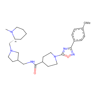 COc1ccc(-c2noc(N3CCC(C(=O)NCC4CCN(C[C@H]5CCCCN5C)C4)CC3)n2)cc1